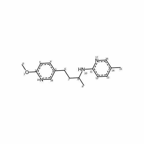 COc1ccc(CCC(C)Nc2ccc(C)cn2)cn1